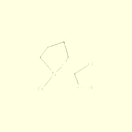 CCN1CCCCC1.O=C(O)CCl